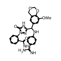 COc1cc(C(Nc2ccc(C(=N)N)cc2)c2nn(-c3ccccc3C(N)=O)c(=O)[nH]2)cc2c1OCOC2